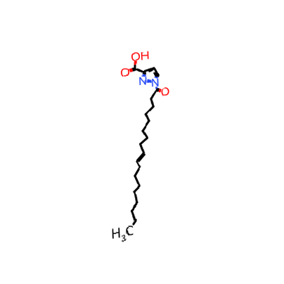 CCCCCCCCC=CCCCCCCCC(=O)n1ccc(C(=O)O)n1